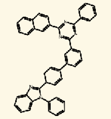 C1=CC(c2nc3ccccc3n2-c2ccccc2)CC=C1c1cccc(-c2nc(-c3ccccc3)nc(-c3ccc4ccccc4c3)n2)c1